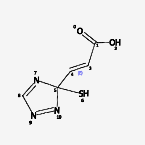 O=C(O)/C=C/C1(S)N=CN=N1